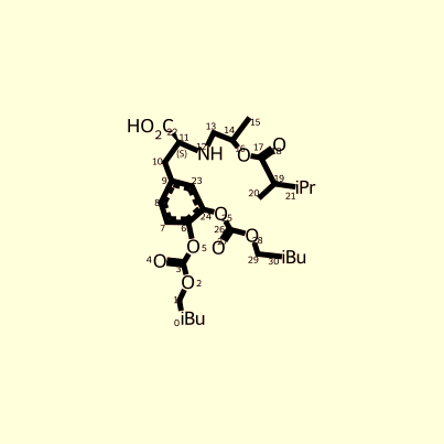 CCC(C)COC(=O)Oc1ccc(C[C@H](NCC(C)OC(=O)C(C)C(C)C)C(=O)O)cc1OC(=O)OCC(C)CC